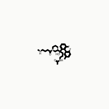 CNCCCC(=O)N1CCC[C@@H]([C@@](O)(CCCNC(C)=O)c2cccc(F)c2-c2cc(C)ccc2F)C1